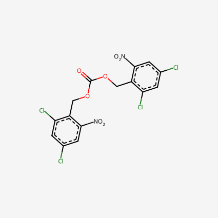 O=C(OCc1c(Cl)cc(Cl)cc1[N+](=O)[O-])OCc1c(Cl)cc(Cl)cc1[N+](=O)[O-]